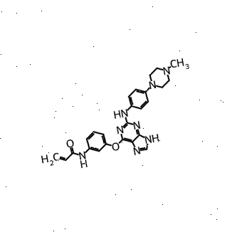 C=CC(=O)Nc1cccc(Oc2nc(Nc3ccc(N4CCN(C)CC4)cc3)nc3[nH]cnc23)c1